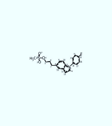 CS(=O)(=O)OCCCc1ccc2c(ccn2-c2ccc(F)cc2)c1